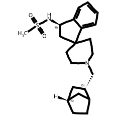 CS(=O)(=O)N[C@@H]1CC2(CCN(C[C@H]3C[C@H]4CCC3C4)CC2)c2ccccc21